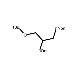 CCCCCCCCCCC(CCCCCCCC)COC(C)(C)C